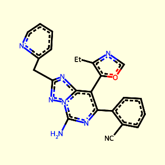 CCc1ncoc1-c1c(-c2ccccc2C#N)nc(N)n2nc(Cc3ccccn3)nc12